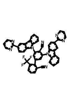 N#Cc1cccc(C(F)(F)F)c1-c1cc(-n2c3ccccc3c3cc(-c4ncccn4)ccc32)c(C#N)c(-n2c3ccccc3c3cc(-c4ncccn4)ccc32)c1